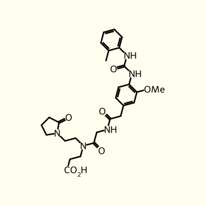 COc1cc(CC(=O)NCC(=O)N(CCC(=O)O)CCN2CCCC2=O)ccc1NC(=O)Nc1ccccc1C